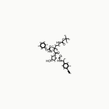 C#Cc1ccc([C@H](C)NC(=O)[C@@H]2C[C@@H](O)CN2C(=O)[C@H](NC(=O)Oc2ccccc2)C(C)(C)CCNC(=O)OC(C)(C)C)cc1